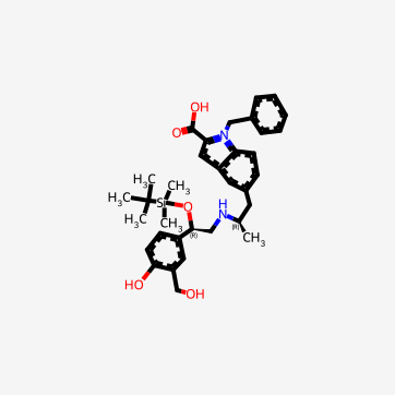 C[C@H](Cc1ccc2c(c1)cc(C(=O)O)n2Cc1ccccc1)NC[C@H](O[Si](C)(C)C(C)(C)C)c1ccc(O)c(CO)c1